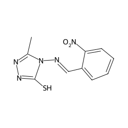 Cc1nnc(S)n1N=Cc1ccccc1[N+](=O)[O-]